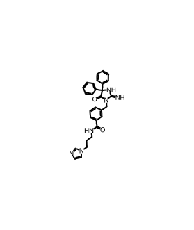 N=C1NC(c2ccccc2)(c2ccccc2)C(=O)N1Cc1cccc(C(=O)NCCCn2ccnc2)c1